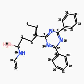 BC(CC/C(=C\C)c1nc(-c2ccccc2)nc(-c2ccccc2)n1)NC=C